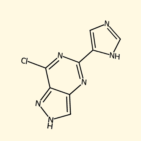 Clc1nc(-c2cnc[nH]2)nc2c[nH]nc12